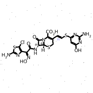 Nc1nc(O)cc(S/C=C/C2=C(C(=O)O)N3C(=O)[C@@H](NC(=O)C(=NO)c4nc(N)sc4Cl)[C@H]3SC2)n1